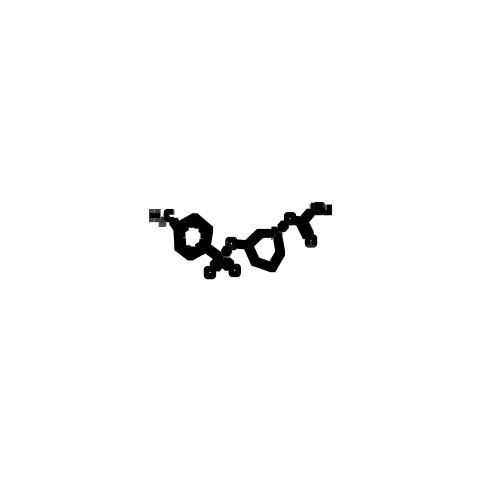 Cc1ccc(S(=O)(=O)OC2CCCN(OC(=O)C(C)(C)C)C2)cc1